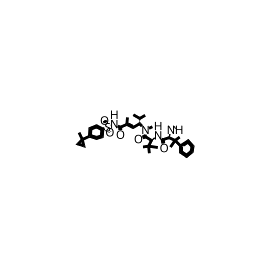 CN[C@H](C(=O)N[C@H](C(=O)N(C)[C@H](/C=C(\C)C(=O)NS(=O)(=O)c1ccc(C2(C)CC2)cc1)C(C)C)C(C)(C)C)C(C)(C)c1ccccc1